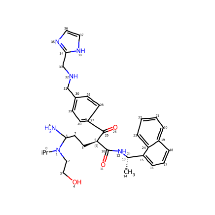 CC(C)N(CCO)C(N)CC[C@H](C(=O)N[C@@H](C)c1cccc2ccccc12)C(=O)c1ccc(CNCc2ncc[nH]2)cc1